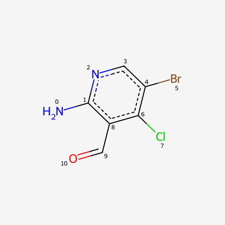 Nc1ncc(Br)c(Cl)c1C=O